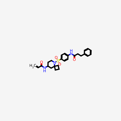 C=CC(=O)NC1CCN(S(=O)(=O)c2ccc(NC(=O)CCc3ccccc3)cc2)C2(CCC2)C1